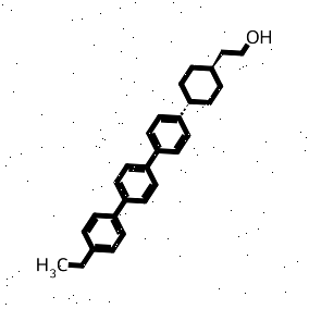 CCc1ccc(-c2ccc(-c3ccc([C@H]4CC[C@H](CCO)CC4)cc3)cc2)cc1